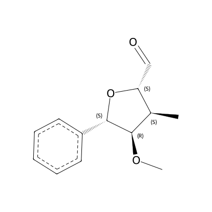 CO[C@@H]1[C@H](C)[C@@H](C=O)O[C@H]1c1ccccc1